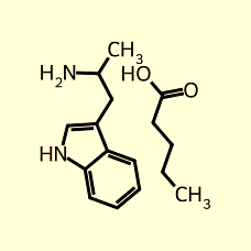 CC(N)Cc1c[nH]c2ccccc12.CCCCC(=O)O